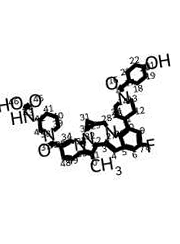 Cc1c(-c2cc3cc(F)cc(C4CCN(C(=O)C5CCC(O)CC5)CC4)c3n2CC2CC2)nn2cc(C(=O)N3CCC[C@@H](NC(=O)O)C3)ccc12